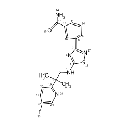 CC(C)(CNc1nc(-c2cccc(C(N)=O)c2)ns1)c1ccc(F)cn1